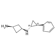 N[C@H]1C[C@@H](N[C@@H]2C[C@H]2c2ccccc2)C1